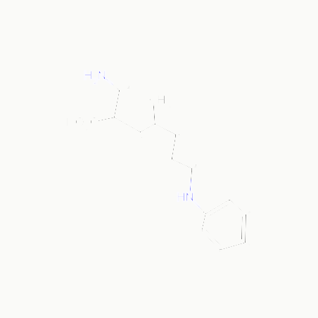 CC(CCCNc1ccccc1)CC(CN)C(=O)O